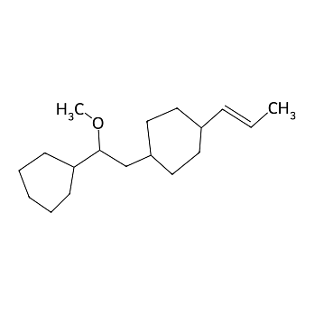 CC=CC1CCC(CC(OC)C2CCCCC2)CC1